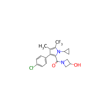 Cc1c(-c2ccc(Cl)cc2)c(C(=O)N2CC(O)C2)n(C2CC2)c1C(F)(F)F